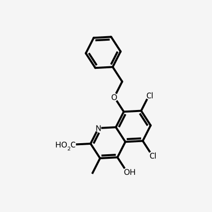 Cc1c(C(=O)O)nc2c(OCc3ccccc3)c(Cl)cc(Cl)c2c1O